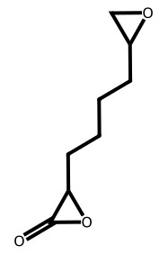 O=C1OC1CCCCC1CO1